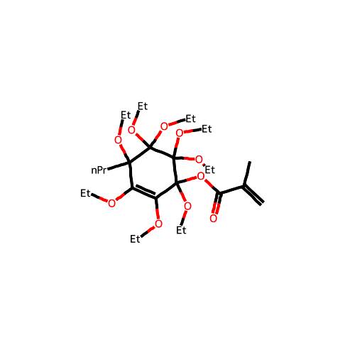 C=C(C)C(=O)OC1(OCC)C(OCC)=C(OCC)C(CCC)(OCC)C(OCC)(OCC)C1(OCC)OCC